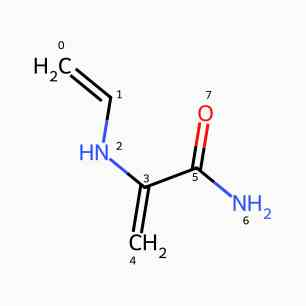 C=CNC(=C)C(N)=O